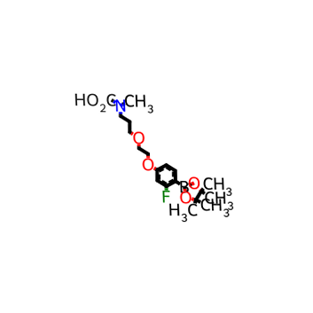 CN(CCCOCCOc1ccc(B2OC(C)(C)C(C)(C)O2)c(F)c1)C(=O)O